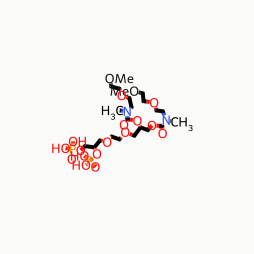 COCCOCCN(C)C(=O)OCC(COCCOCC(COP(=O)(O)O)OP(=O)(O)O)OC(=O)N(C)CCOCCOC